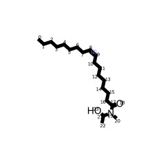 CCCCCCCC/C=C\CCCCCCCC(=O)N(C)C(C)O